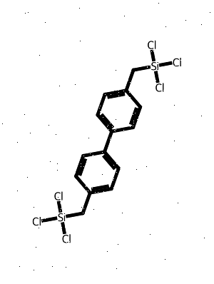 Cl[Si](Cl)(Cl)Cc1ccc(-c2ccc(C[Si](Cl)(Cl)Cl)cc2)cc1